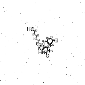 Cn1c(=O)[nH]c2nc(OCCCCCO)n(Cc3ccc(Cl)cc3)c2c1=O